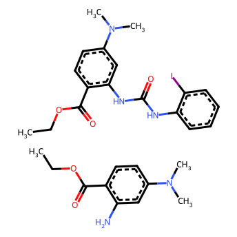 CCOC(=O)c1ccc(N(C)C)cc1N.CCOC(=O)c1ccc(N(C)C)cc1NC(=O)Nc1ccccc1I